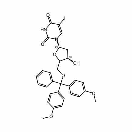 COc1ccc(C(OCC2O[C@@H](n3cc(I)c(=O)[nH]c3=O)C[C@H]2O)(c2ccccc2)c2ccc(OC)cc2)cc1